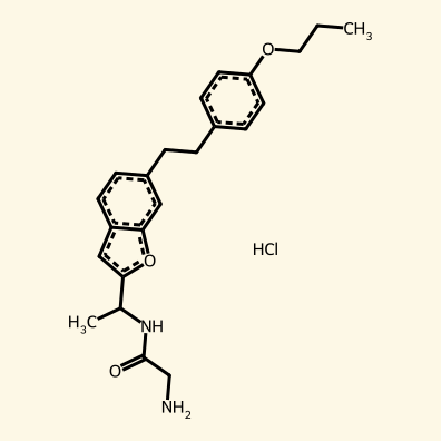 CCCOc1ccc(CCc2ccc3cc(C(C)NC(=O)CN)oc3c2)cc1.Cl